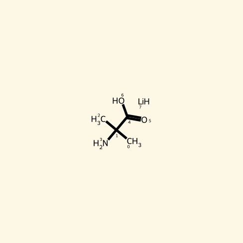 CC(C)(N)C(=O)O.[LiH]